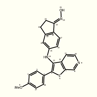 COc1ccc(-c2sc3cnccc3c2Nc2ccc3c(c2)CC/C3=N\O)cc1